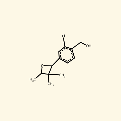 CC1OC(c2ccc(CO)c(Cl)c2)C1(C)C